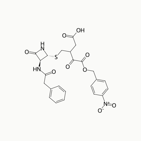 O=C(O)CC(CS[C@H]1NC(=O)[C@@H]1NC(=O)Cc1ccccc1)C(=O)C(=O)OCc1ccc([N+](=O)[O-])cc1